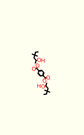 CCC(C)(C)CC(O)COC(=O)c1ccc(C(=O)OCC(O)CC(C)(C)CC)cc1